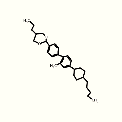 CCCCCC1CCC(c2ccc(-c3ccc(C4OCC(CCC)CO4)cc3)c(C)c2)CC1